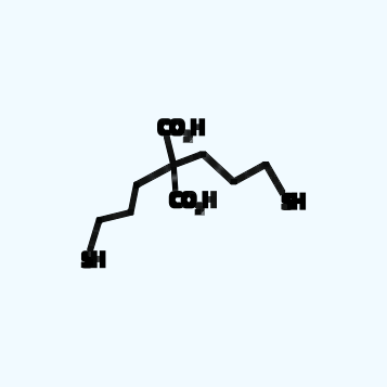 O=C(O)C(CCCS)(CCCS)C(=O)O